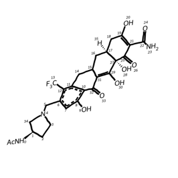 CC(=O)N[C@@H]1CCN(Cc2cc(O)c3c(c2C(F)(F)F)CC2C[C@H]4CC(O)=C(C(N)=O)C(=O)[C@@]4(O)C(O)=C2C3=O)C1